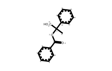 CC(OC(=O)c1ccccc1)(C(=O)O)c1ccccc1